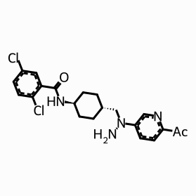 CC(=O)c1ccc(N(N)C[C@H]2CC[C@H](NC(=O)c3cc(Cl)ccc3Cl)CC2)cn1